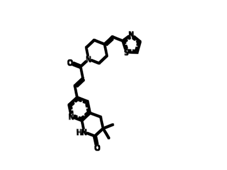 CC1(C)Cc2cc(C=CC(=O)N3CCC(=Cc4nccs4)CC3)cnc2NC1=O